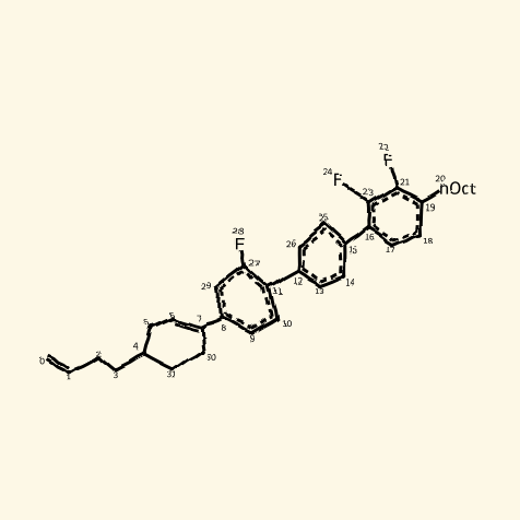 C=CCCC1CC=C(c2ccc(-c3ccc(-c4ccc(CCCCCCCC)c(F)c4F)cc3)c(F)c2)CC1